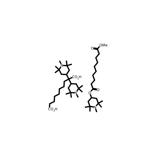 CN1C(C)(C)CC(C(CCCCCCCC(=O)O)(C(=O)O)C2CC(C)(C)N(C)C(C)(C)C2)CC1(C)C.COC(=O)CCCCCCCCC(=O)OC1CC(C)(C)N(C)C(C)(C)C1